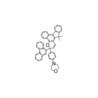 CC1(C)c2ccccc2-c2c1c1c(c3ccccc23)OC(c2ccc(N3CCOCC3)cc2)(c2cc3ccccc3c3ccccc23)C=C1